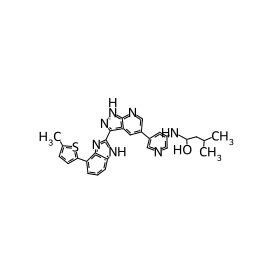 Cc1ccc(-c2cccc3[nH]c(-c4n[nH]c5ncc(-c6cncc(NC(O)CC(C)C)c6)cc45)nc23)s1